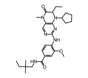 CCC1C(=O)N(C)c2cnc(Nc3ccc(C(=O)NCC(C)(C)CC)cc3OC)nc2N1C1CCCC1